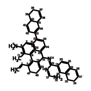 C=CC1=C(c2cccc(N)c2C)C(C(/N=C(\N=C/N)c2ccc3c(c2)CCC=C3)c2ccc(C3=CC4C=CCCC4C=C3)cc2)=CCC1